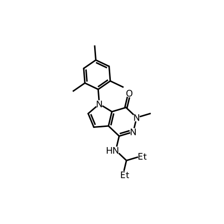 CCC(CC)Nc1nn(C)c(=O)c2c1ccn2-c1c(C)cc(C)cc1C